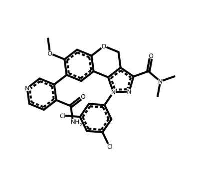 COc1cc2c(cc1-c1cnccc1C(N)=O)-c1c(c(C(=O)N(C)C)nn1-c1cc(Cl)cc(Cl)c1)CO2